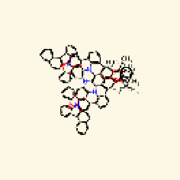 CC(C)(C)c1cc(-c2cc3c4c(c2)N(c2c(-c5ccc6oc7ccccc7c6c5)cccc2-c2ccc5oc6ccccc6c5c2)c2cc(-n5c6ccccc6c6c7ccccc7ccc65)ccc2N4c2ccc(-n4c5ccccc5c5c6ccccc6ccc54)cc2N3c2c(-c3ccc4oc5ccccc5c4c3)cccc2-c2ccc3oc4ccccc4c3c2)cc(C(C)(C)C)c1